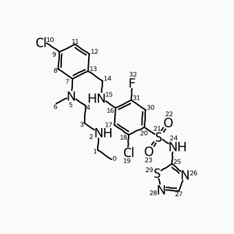 CCNCCN(C)c1cc(Cl)ccc1CNc1cc(Cl)c(S(=O)(=O)Nc2ncns2)cc1F